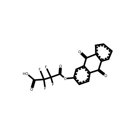 O=C1c2ccccc2C(=O)c2cc(OC(=O)C(F)(F)C(F)(F)C(=O)O)ccc21